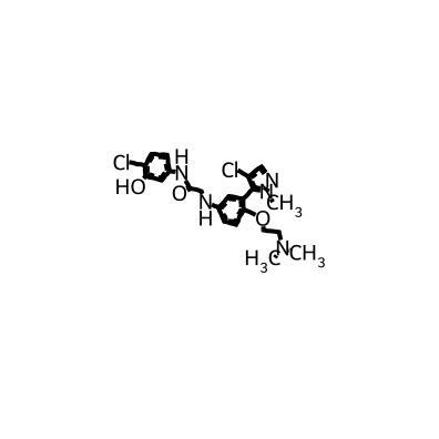 CN(C)CCOc1ccc(NCC(=O)Nc2ccc(Cl)c(O)c2)cc1-c1c(Cl)cnn1C